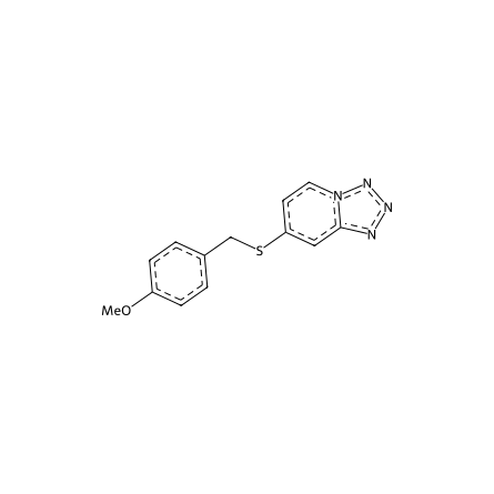 COc1ccc(CSc2ccn3nnnc3c2)cc1